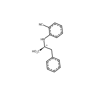 N#Cc1ccccc1N[C@@H](Cc1ccccc1)C(=O)O